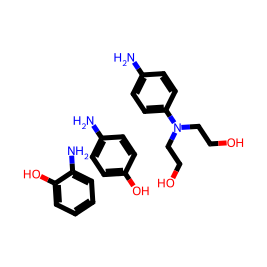 Nc1ccc(N(CCO)CCO)cc1.Nc1ccc(O)cc1.Nc1ccccc1O